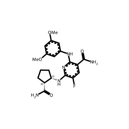 COc1cc(Nc2nc(N[C@H]3CCC[C@H]3C(N)=O)c(F)cc2C(N)=O)cc(OC)c1